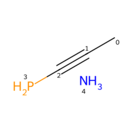 CC#CP.N